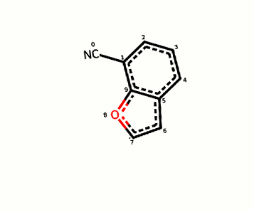 N#Cc1cccc2c[c]oc12